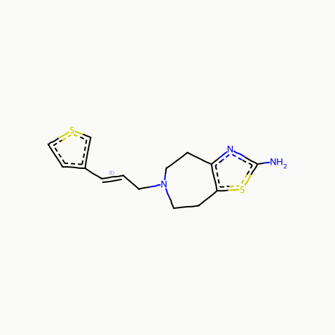 Nc1nc2c(s1)CCN(C/C=C/c1ccsc1)CC2